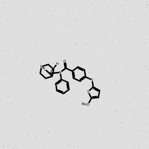 COc1ccc(Sc2ccc(C(=O)N(c3ccccc3)[C@H]3CN4CCC3CC4)cc2)s1